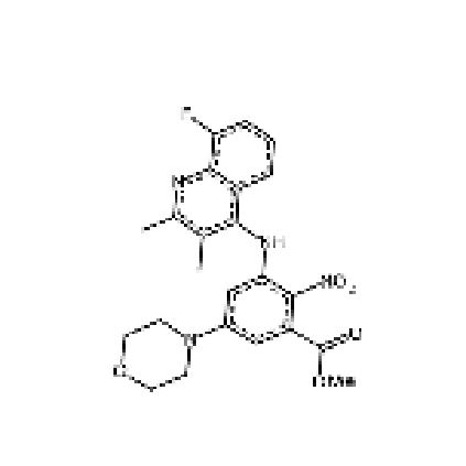 COC(=O)c1cc(N2CCOCC2)cc(Nc2c(C)c(C)nc3c(F)cccc23)c1[N+](=O)[O-]